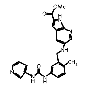 COC(=O)c1cc2cc(NCc3cc(NC(=O)Nc4cccnc4)ccc3C)cnc2[nH]1